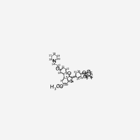 COc1ccc2c(Oc3ccc(OCCN4CCCCC4)cc3)c(-c3ccc(OS(=O)(=O)C(F)(F)F)cc3)sc2c1